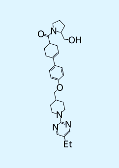 CCc1cnc(N2CCC(COc3ccc(C4=CCC(C(=O)N5CCCC5CO)CC4)cc3)CC2)nc1